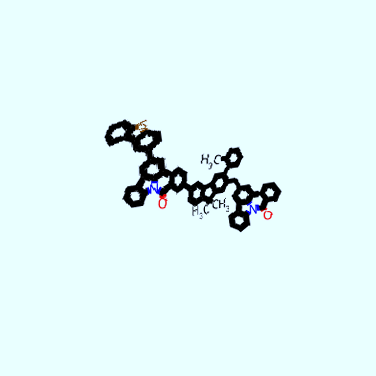 Cc1ccccc1-c1cc2c(cc1Cc1cc3c4ccccc4c(=O)n4c5ccccc5c(c1)c34)C(C)(C)c1ccc(-c3ccc4c(c3)c(=O)n3c5ccccc5c5cc(-c6ccc7sc8ccccc8c7c6)cc4c53)cc1-2